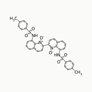 Cc1ccc(S(=O)(=O)Nc2cccc3ccc(-c4ccc5cccc(NS(=O)(=O)c6ccc(C)cc6)c5[n+]4[O-])[n+]([O-])c23)cc1